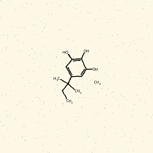 C.CCC(C)(C)c1cc(O)c(O)c(O)c1